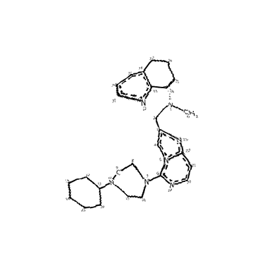 CN(Cc1cn2c(N3CCN(C4CCCCC4)CC3)nccc2n1)[C@H]1CCCc2cccnc21